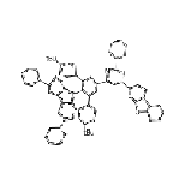 CC(C)(C)c1ccc(-c2cc(-c3cc(-c4ccc5c(c4)oc4ccccc45)nc(-c4ccccc4)n3)cc(-c3ccc(C(C)(C)C)cc3)c2-n2c3ccc(-c4ccccc4)cc3c3cc(-c4ccccc4)ccc32)cc1